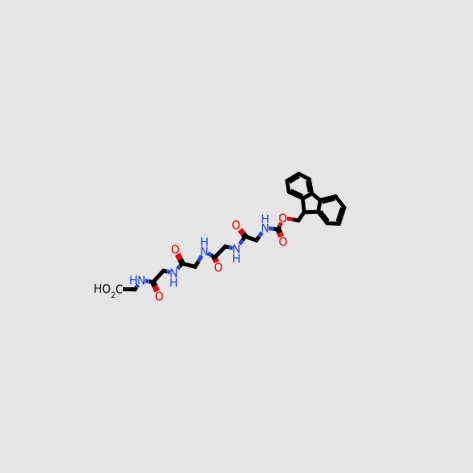 O=C(O)CNC(=O)CNC(=O)CNC(=O)CNC(=O)CNC(=O)OCC1c2ccccc2-c2ccccc21